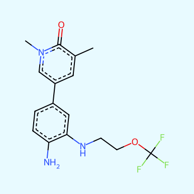 Cc1cc(-c2ccc(N)c(NCCOC(F)(F)F)c2)cn(C)c1=O